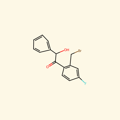 O=C(c1ccc(F)cc1CBr)C(O)c1ccccc1